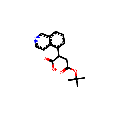 CC(C)(C)OC(=O)CC(C(=O)O)c1cccc2cnccc12